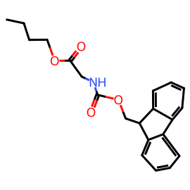 CCCCOC(=O)CNC(=O)OCC1c2ccccc2-c2ccccc21